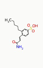 CCCCCc1cc(S(=O)(=O)O)ccc1C=CC(N)=O